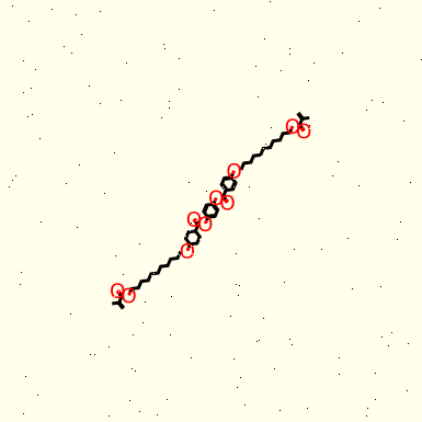 C=C(C)C(=O)OCCCCCCCCCCCOc1ccc(C(=O)Oc2ccc(OC(=O)C3CCC(OCCCCCCCCCCCOC(=O)C(=C)C)CC3)cc2)cc1